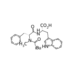 CCC(C)C(=O)N(C)[C@H](Cc1ccccc1)C(=O)N[C@@H](Cc1c[nH]c2ccccc12)C(=O)O